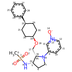 CS(=O)(=O)N[C@H]1CCN(c2ccc[n+]([O-])c2)[C@H]1CO[C@H]1CC[C@@H](c2ccccc2)CC1